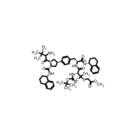 COC(=O)CSC(C)(C)[C@H](NC(=O)OC(C)(C)C)C(=O)N[C@@H](Cc1ccc([C@H]2C[C@@H](C(=O)N[C@@H]3CCCc4ccccc43)N(C(=O)C(N)C(C)(C)C)C2)cc1)C(=O)N[C@@H]1CCCc2ccccc21